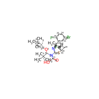 CC(C)(C)C(OCC[Si](C)(C)C)N(C(=O)O)C1=N[C@](C)(c2cc(Br)ccc2F)[C@@H]2C[C@]2(CF)S1